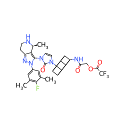 Cc1cc(-n2nc3c(c2-n2ccn(C45C6C7C4C4C5C6C74NC(=O)COC(=O)C(F)(F)F)c2=O)[C@H](C)NCC3)cc(C)c1F